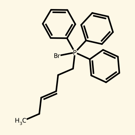 CCC=CCCP(Br)(c1ccccc1)(c1ccccc1)c1ccccc1